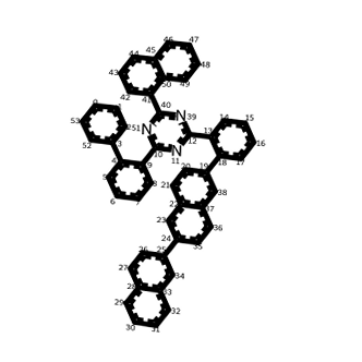 c1ccc(-c2ccccc2-c2nc(-c3ccccc3-c3ccc4cc(-c5ccc6ccccc6c5)ccc4c3)nc(-c3cccc4ccccc34)n2)cc1